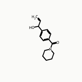 C=CC(O)c1ccc(C(=O)N2CCCCC2)cc1